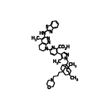 Cc1c(Nc2nc3ccccc3s2)nnc2c1CCCN2c1ccc(-c2cnn(CC3CC4(C)CC5(C)CC3CC(CCCN3CCOCC3)(C4)C5)c2C)c(C(=O)O)n1